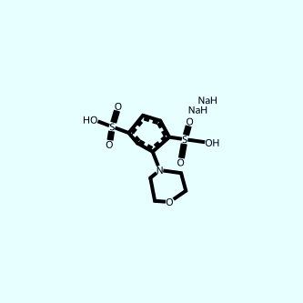 O=S(=O)(O)c1ccc(S(=O)(=O)O)c(N2CCOCC2)c1.[NaH].[NaH]